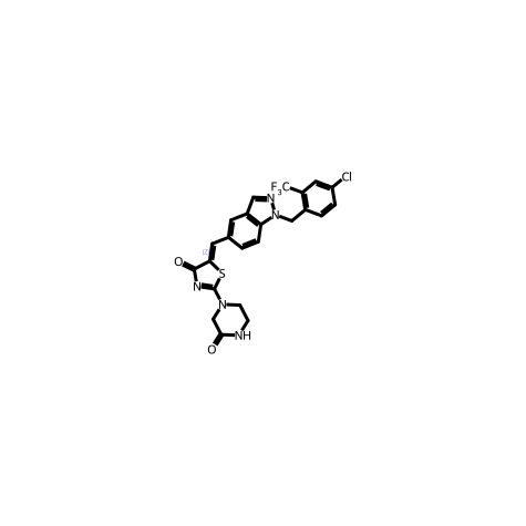 O=C1CN(C2=NC(=O)/C(=C/c3ccc4c(cnn4Cc4ccc(Cl)cc4C(F)(F)F)c3)S2)CCN1